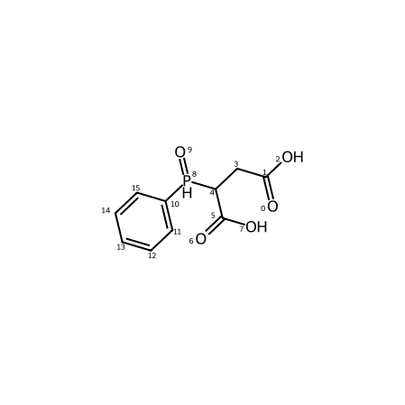 O=C(O)CC(C(=O)O)[PH](=O)c1ccccc1